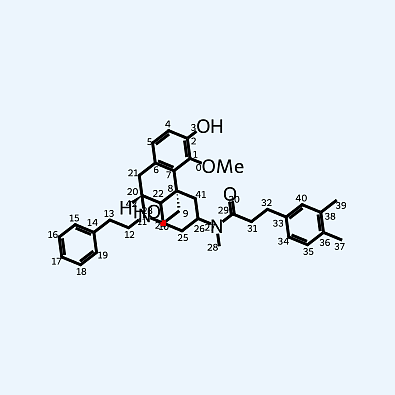 COc1c(O)ccc2c1[C@]13CCN(CCc4ccccc4)[C@H](C2)[C@]1(O)CCC(N(C)C(=O)CCc1ccc(C)c(C)c1)C3